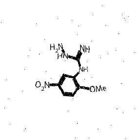 COc1ccc([N+](=O)[O-])cc1NC(=N)NN